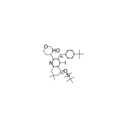 CC1(C)Cc2nc(C3CCOCC3)c([C@H](O)c3ccc(C(C)(C)C)cc3)c(I)c2[C@@H](O[Si](C)(C)C(C)(C)C)C1